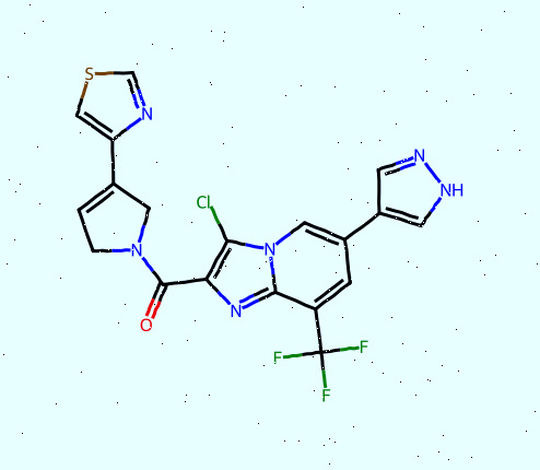 O=C(c1nc2c(C(F)(F)F)cc(-c3cn[nH]c3)cn2c1Cl)N1CC=C(c2cscn2)C1